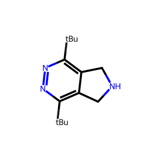 CC(C)(C)c1nnc(C(C)(C)C)c2c1CNC2